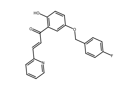 O=C(/C=C/c1ccccn1)c1cc(OCc2ccc(F)cc2)ccc1O